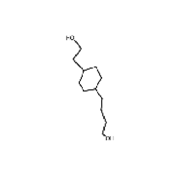 OCCCCC1CCC(CCO)CC1